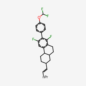 CCCC=CC1CCC2c3cc(F)c(-c4ccc(OC(F)F)cc4)c(F)c3CCC2C1